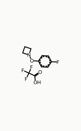 Fc1ccc(ON2CCC2)cc1.O=C(O)C(F)(F)F